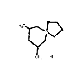 CC1CC(C)C[P]2(CCCC2)C1.I